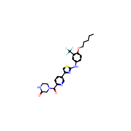 CCCCCOc1ccc(Nc2nc(-c3ccc(C(=O)N4CCNC(=O)C4)nc3)cs2)cc1C(F)(F)F